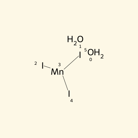 O.O.[I][Mn]([I])[I]